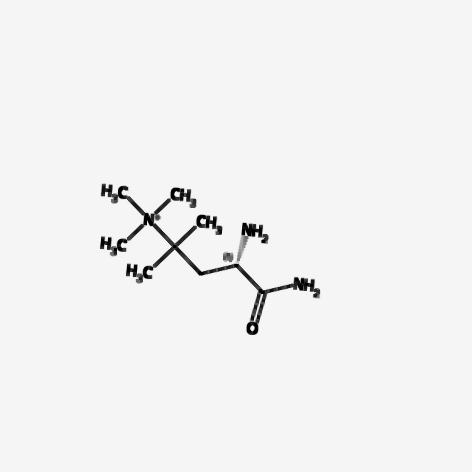 CC(C)(C[C@H](N)C(N)=O)[N+](C)(C)C